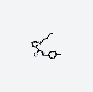 CCCCCn1cccc1C(=O)/C=C/c1ccc(C)cc1